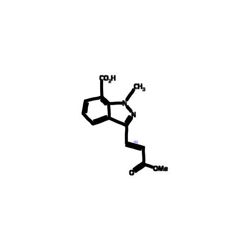 COC(=O)/C=C/c1nn(C)c2c(C(=O)O)cccc12